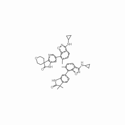 Cc1ccc2c(NC3CC3)noc2c1-c1ccc2c(c1)NC(=O)C2(C)C.Cc1ccc2c(NC3CC3)noc2c1-c1cnc2c(c1)NC(=O)C21CCOCC1